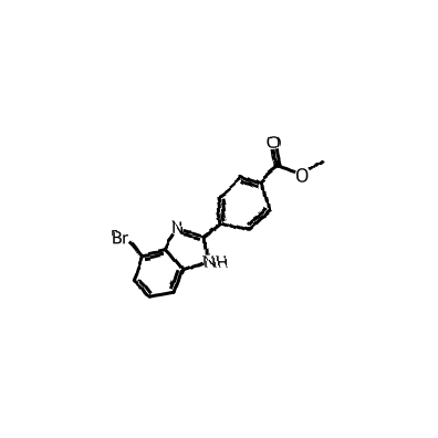 COC(=O)c1ccc(-c2nc3c(Br)cccc3[nH]2)cc1